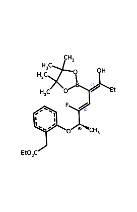 CCOC(=O)Cc1ccccc1O[C@H](C)/C(F)=C/C(B1OC(C)(C)C(C)(C)O1)=C(/O)CC